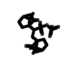 CC1(C)C2CCC1(CC(C13CCC(CC1=O)C3(C)C)S(=O)(=O)O[SH](=O)=O)C(=O)C2